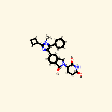 Cn1c(C2CCC2)nc(-c2ccc3c(c2)CN(C2CCC(=O)NC2=O)C3=O)c1-c1ccccc1